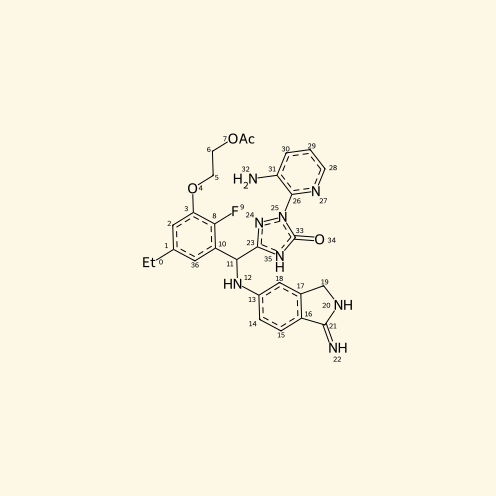 CCc1cc(OCCOC(C)=O)c(F)c(C(Nc2ccc3c(c2)CNC3=N)c2nn(-c3ncccc3N)c(=O)[nH]2)c1